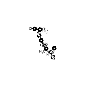 Cc1cc(S(=O)(=O)NC(=O)c2ccc(N3CCN(CC4=C(c5ccc(Cl)cc5)CCC(C)(C)C4)CC3)cc2)ccc1N[C@H](CCN1CCOCC1)C[S@@+]([O-])c1ccccc1